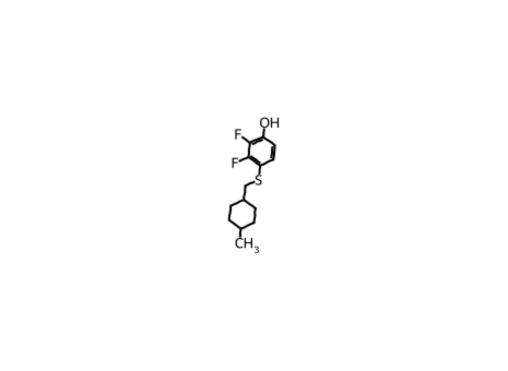 CC1CCC(CSc2ccc(O)c(F)c2F)CC1